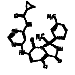 Cc1cccc(C2(C)NC(=O)c3c(Cl)cc(Nc4cc(NC(=O)C5CC5)ncn4)c(=O)n32)c1